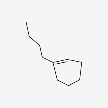 CCCCC1=CCCCC1